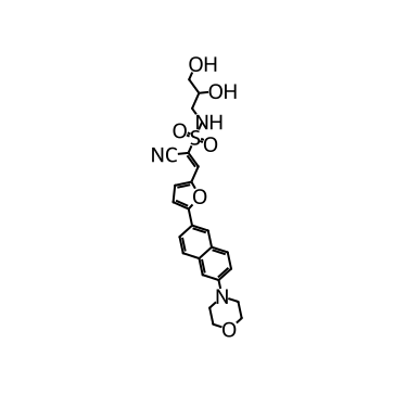 N#C/C(=C\c1ccc(-c2ccc3cc(N4CCOCC4)ccc3c2)o1)S(=O)(=O)NCC(O)CO